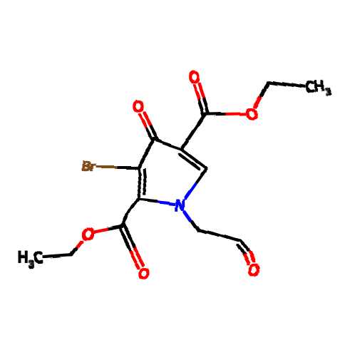 CCOC(=O)c1cn(CC=O)c(C(=O)OCC)c(Br)c1=O